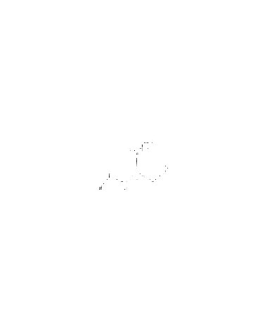 CCC[C@@H](CC)N=O